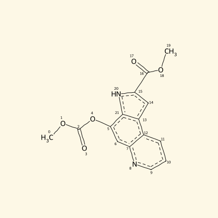 COC(=O)Oc1cc2ncccc2c2cc(C(=O)OC)[nH]c12